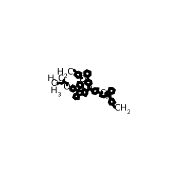 C=Cc1ccc(Oc2ccc(C3(c4ccc(OCC(CC)CCCC)cc4)c4ccccc4-c4ccc(N(c5ccc(-c6ccccc6)cc5)c5ccc(-c6ccc7c(c6)c6ccccc6n7-c6ccc(C=C)cc6)cc5)cc43)cc2)cc1